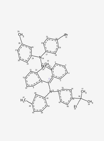 C=c1cccc/c1=C(/c1ccccc1C(C)N(c1ccc(C(C)C)cc1)c1cccc(C)c1)N(c1ccc(C(C)(C)CC)cc1)c1cccc(C)c1